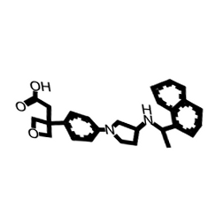 CC(NC1CCN(c2ccc(C3(CC(=O)O)COC3)cc2)C1)c1cccc2ccccc12